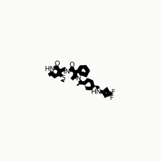 CSc1cc(C)[nH]c(=O)c1CNC(=O)c1c(C)n([C@H](C)[C@H]2CC[C@H](CNC3CC(F)(F)C3)CC2)c2ccccc12